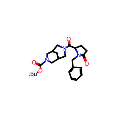 CC(C)(C)OC(=O)N1CC2CC(C1)CN(C(=O)C1CCC(=O)N1Cc1ccccc1)C2